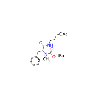 CC(=O)OCCCNC(=O)C(Cc1ccccc1)N(C)C(=O)OC(C)(C)C